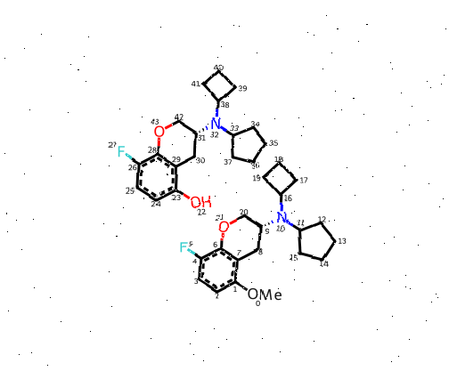 COc1ccc(F)c2c1C[C@@H](N(C1CCCC1)C1CCC1)CO2.Oc1ccc(F)c2c1C[C@@H](N(C1CCCC1)C1CCC1)CO2